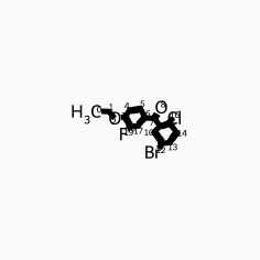 CCOc1ccc(C(=O)c2cc(Br)ccc2Cl)cc1F